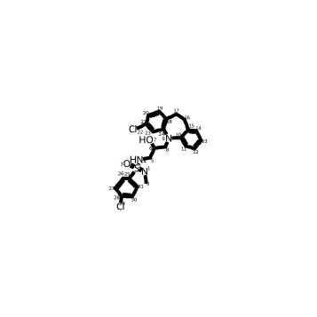 CN=S(=O)(NCC(O)CN1c2ccccc2CCc2ccc(Cl)cc21)c1ccc(Cl)cc1